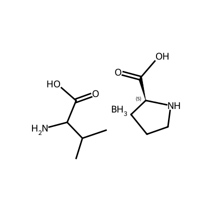 B.CC(C)C(N)C(=O)O.O=C(O)[C@@H]1CCCN1